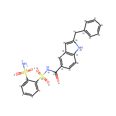 NS(=O)(=O)c1ccccc1S(=O)(=O)NC(=O)c1ccc2[nH]c(Cc3ccccc3)cc2c1